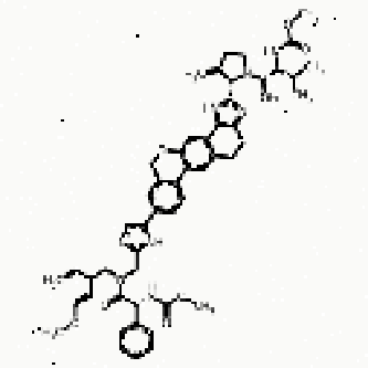 C=CC(/C=C/OC)CN(Cc1ncc(-c2ccc3c(c2)COc2cc4c(cc2-3)CCc2nc([C@@H]3C(=C)CCN3C(O)[C@@H](NC(=O)OC)C(C)C)[nH]c2-4)[nH]1)C(=O)[C@H](NC(=O)OC)c1ccccc1